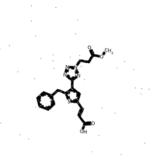 COC(=O)CCn1nnc(-c2cc(C=CC(=O)O)sc2Cc2ccccc2)n1